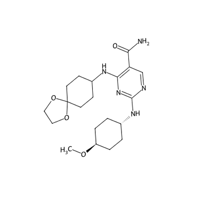 CO[C@H]1CC[C@H](Nc2ncc(C(N)=O)c(NC3CCC4(CC3)OCCO4)n2)CC1